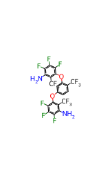 Nc1c(F)c(F)c(F)c(Oc2ccc(C(F)(F)F)c(Oc3c(F)c(F)c(F)c(N)c3C(F)(F)F)c2)c1C(F)(F)F